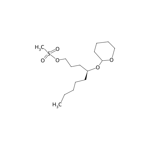 CCCCC[C@@H](CCCOS(C)(=O)=O)OC1CCCCO1